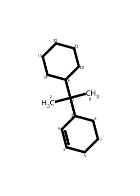 CC(C)(C1C=CCCC1)C1CCCCC1